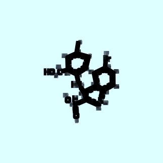 Cc1ccc(Nc2c([SH](=O)=O)cnc3ccc(Br)cc23)c(C(=O)O)c1